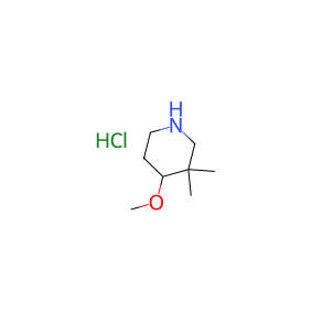 COC1CCNCC1(C)C.Cl